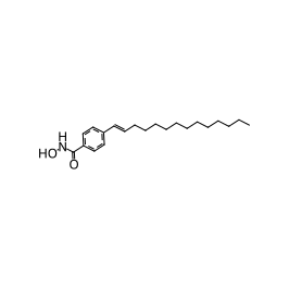 CCCCCCCCCCCCC=Cc1ccc(C(=O)NO)cc1